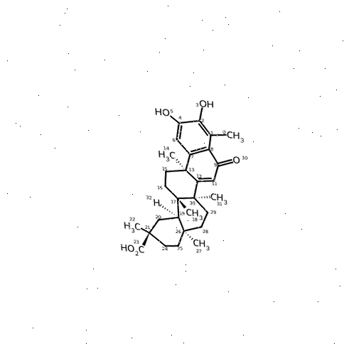 Cc1c(O)c(O)cc2c1C(=O)C=C1[C@@]2(C)CC[C@@]2(C)[C@@H]3C[C@](C)(C(=O)O)CC[C@]3(C)CC[C@]12C